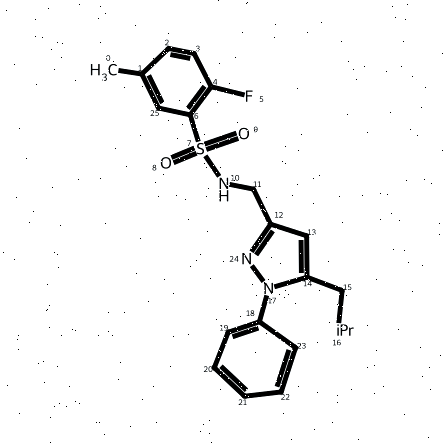 Cc1ccc(F)c(S(=O)(=O)NCc2cc(CC(C)C)n(-c3ccccc3)n2)c1